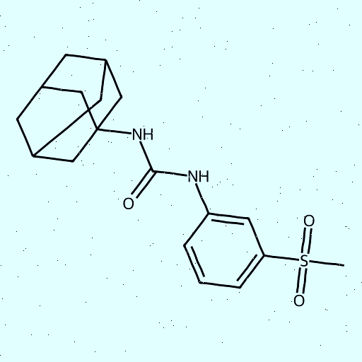 CS(=O)(=O)c1cccc(NC(=O)NC23CC4CC(CC(C4)C2)C3)c1